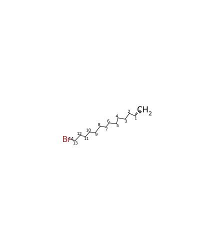 C=CCCCCCCCCCCCCBr